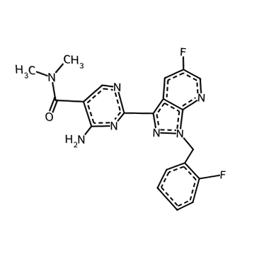 CN(C)C(=O)c1cnc(-c2nn(Cc3ccccc3F)c3ncc(F)cc23)nc1N